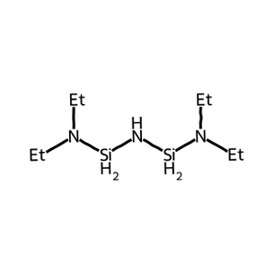 CCN(CC)[SiH2]N[SiH2]N(CC)CC